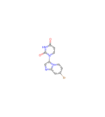 O=c1ccn(-c2cnc3cc(Br)ccn23)c(=O)[nH]1